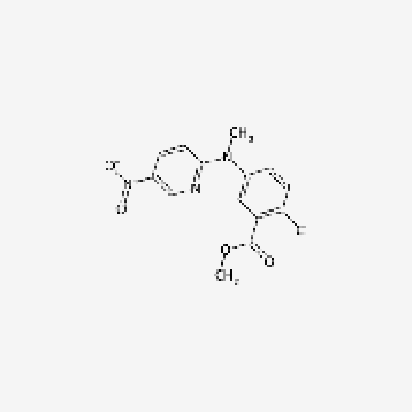 COC(=O)c1cc(N(C)c2ccc([N+](=O)[O-])cn2)ccc1Cl